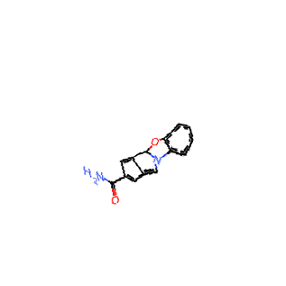 NC(=O)C1=CC2=CN3c4ccccc4OC3C2=C1